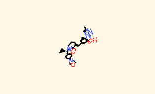 Cc1cn(-c2ccc(/C=C3\CCCN([C@H](c4ccc(N5CCOCC5)cc4)C4CC4)C3=O)cc2O)cn1